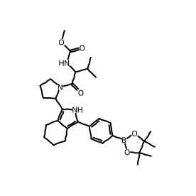 COC(=O)NC(C(=O)N1CCCC1c1[nH]c(-c2ccc(B3OC(C)(C)C(C)(C)O3)cc2)c2c1CCCC2)C(C)C